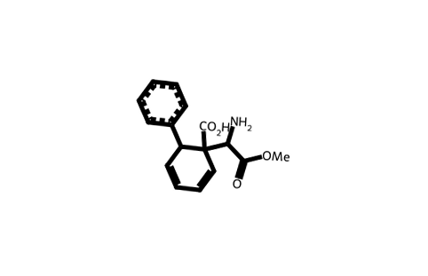 COC(=O)C(N)C1(C(=O)O)C=CC=CC1c1ccccc1